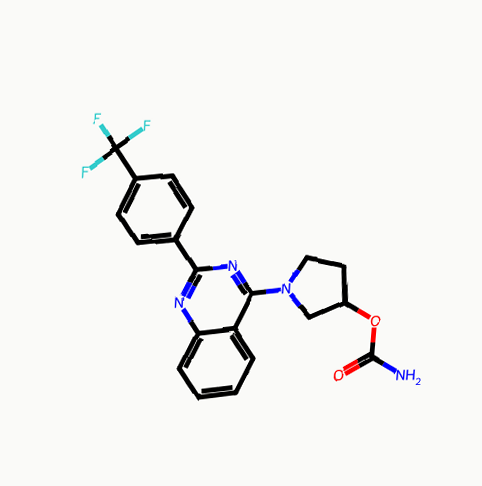 NC(=O)OC1CCN(c2nc(-c3ccc(C(F)(F)F)cc3)nc3ccccc23)C1